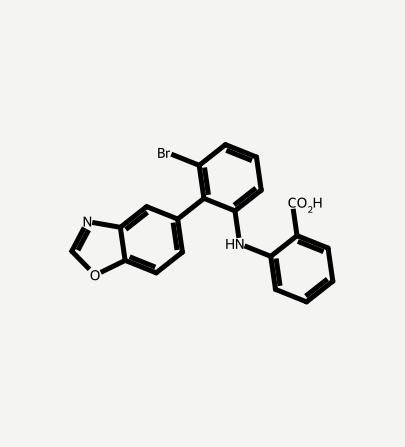 O=C(O)c1ccccc1Nc1cccc(Br)c1-c1ccc2ocnc2c1